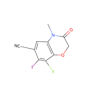 CN1C(=O)COc2c1cc(C#N)c(I)c2F